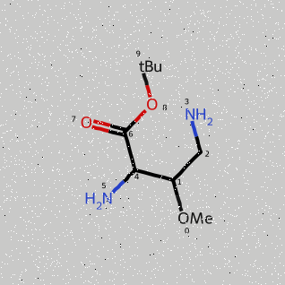 COC(CN)C(N)C(=O)OC(C)(C)C